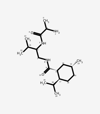 CC(N)C(=O)NC(CNC(=O)[C@@H]1C[C@H](C)CC[C@H]1C(C)C)C(C)C